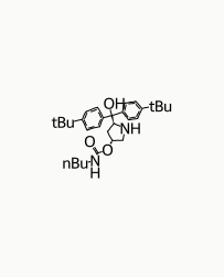 CCCCNC(=O)O[C@@H]1CN[C@H](C(O)(c2ccc(C(C)(C)C)cc2)c2ccc(C(C)(C)C)cc2)C1